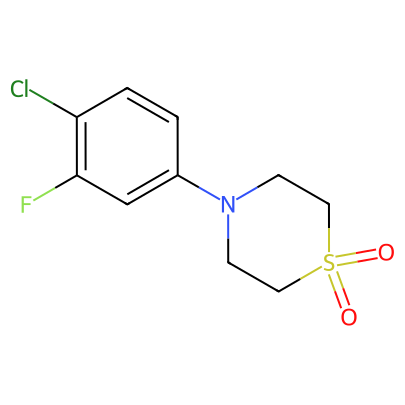 O=S1(=O)CCN(c2ccc(Cl)c(F)c2)CC1